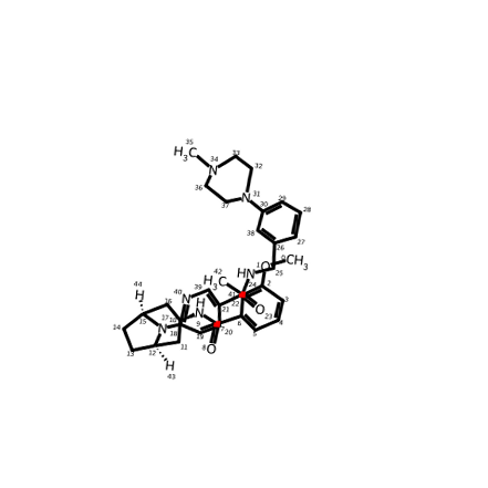 COc1cccc(C(=O)N[C@H]2C[C@H]3CC[C@@H](C2)N3c2ccc(C(=O)NCc3cccc(N4CCN(C)CC4)c3)cn2)c1C